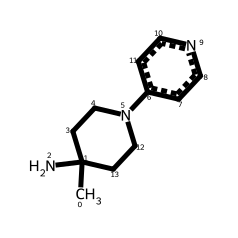 CC1(N)CCN(c2ccncc2)CC1